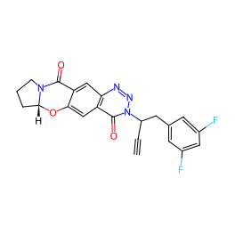 C#CC(Cc1cc(F)cc(F)c1)n1nnc2cc3c(cc2c1=O)O[C@@H]1CCCN1C3=O